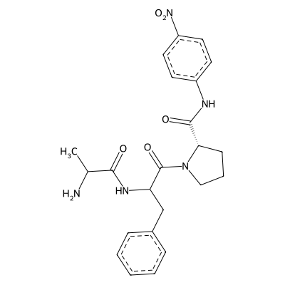 CC(N)C(=O)NC(Cc1ccccc1)C(=O)N1CCC[C@H]1C(=O)Nc1ccc([N+](=O)[O-])cc1